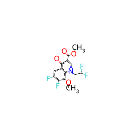 COC(=O)c1cn(CC(F)F)c2c(OC)c(F)c(F)cc2c1=O